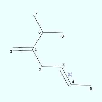 C=C(C/C=C/C)C(C)C